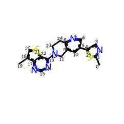 Cc1ncc(-c2cnc3c(c2)CN(c2ncnc4c(C)csc24)CC3)s1